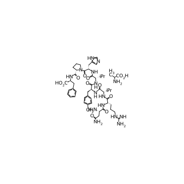 CC(C)[C@H](NC(=O)[C@H](CCCNC(=N)N)NC(=O)[C@@H](N)CC(N)=O)C(=O)N[C@@H](Cc1ccc(O)cc1)C(=O)N[C@H](C(=O)N[C@@H](Cc1cnc[nH]1)C(=O)N1CCC[C@H]1C(=O)N[C@@H](Cc1ccccc1)C(=O)O)C(C)C.CC(N)C(=O)O